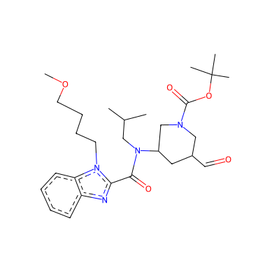 COCCCCn1c(C(=O)N(CC(C)C)C2CC(C=O)CN(C(=O)OC(C)(C)C)C2)nc2ccccc21